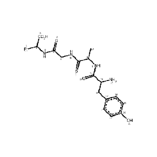 CCC(NC(=O)CNC(=O)C(C)NC(=O)C(N)Cc1ccc(O)cc1)C(=O)O